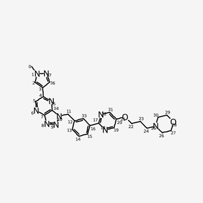 Cn1cc(-c2cnc3nnn(Cc4cccc(-c5ncc(OCCCN6CCOCC6)cn5)c4)c3n2)cn1